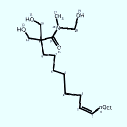 CCCCCCCC/C=C\CCCCCCC(CO)(CO)C(=O)N(C)CO